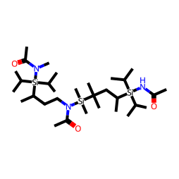 CC(=O)N[Si](C(C)C)(C(C)C)C(C)CC(C)(C)[Si](C)(C)N(CCC(C)[Si](C(C)C)(C(C)C)N(C)C(C)=O)C(C)=O